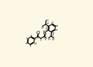 CC(CC(=O)c1ccccc1)=Nc1c(C(C)C)cccc1C(C)C